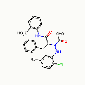 N#Cc1ccc(Cl)c(NN(C(=O)C=O)C(Cc2ccccc2)C(=O)Nc2ccccc2C(=O)O)c1